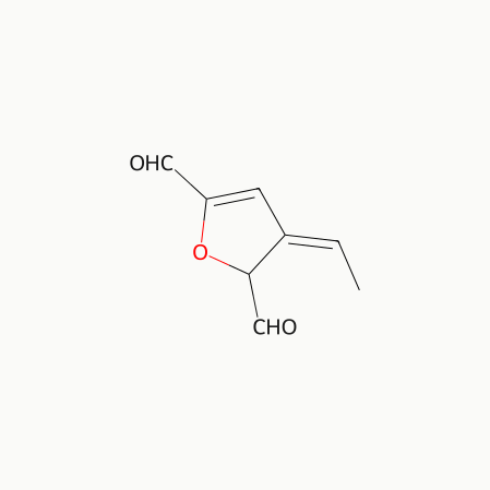 CC=C1C=C(C=O)OC1C=O